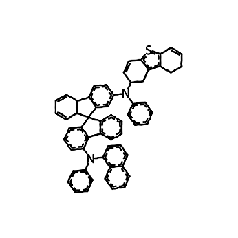 C1=CC2c3ccc(N(c4ccccc4)C4C=Cc5sc6c(c5C4)CCC=C6)cc3C3(c4ccccc4-c4c(N(c5ccccc5)c5cccc6ccccc56)cccc43)C2C=C1